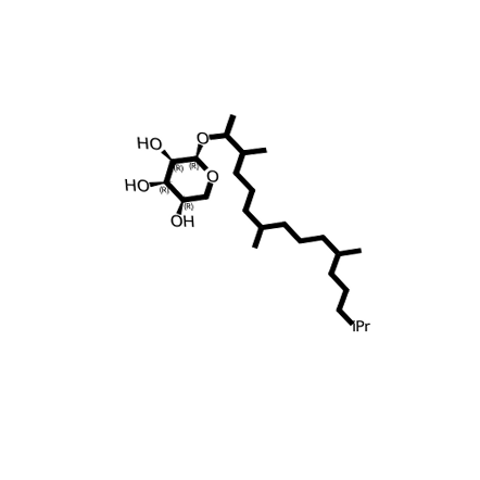 CC(C)CCCC(C)CCCC(C)CCCC(C)C(C)O[C@H]1OC[C@@H](O)[C@@H](O)[C@H]1O